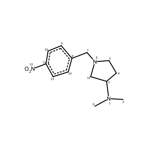 CN(C)C1CCN(Cc2ccc([N+](=O)[O-])cc2)C1